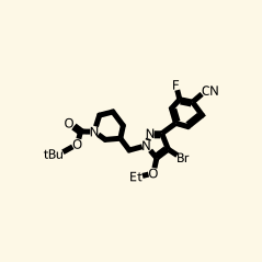 CCOc1c(Br)c(-c2ccc(C#N)c(F)c2)nn1CC1CCCN(C(=O)OC(C)(C)C)C1